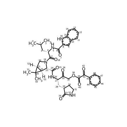 CC(C)C[C@H](NC(=O)c1cc2ccccc2[nH]1)C(=O)N1C[C@H]2[C@@H]([C@H]1C(=O)N[C@@H](C[C@@H]1CCNC1=O)C(=O)COC(=O)C(=O)c1ccccc1)C2(C)C